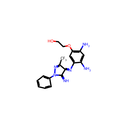 N=C1C(=Nc2cc(OCCO)c(N)cc2N)C(C(F)(F)F)=NN1c1ccccc1